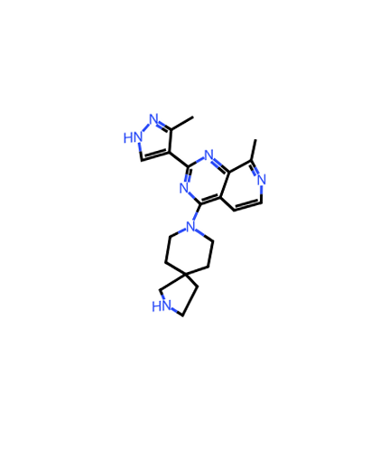 Cc1n[nH]cc1-c1nc(N2CCC3(CCNC3)CC2)c2ccnc(C)c2n1